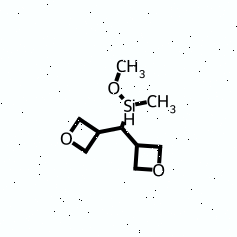 CO[SiH](C)C(C1COC1)C1COC1